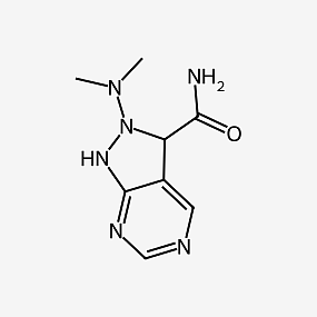 CN(C)N1Nc2ncncc2C1C(N)=O